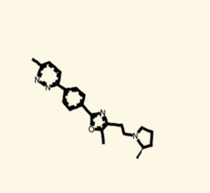 Cc1ccc(-c2ccc(-c3nc(CCN4CCC[C@H]4C)c(C)o3)cc2)nn1